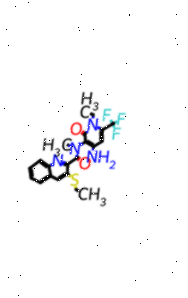 CCSc1cc2ccccc2nc1C(=O)N(C)c1c(N)cc(C(F)(F)F)n(CC)c1=O